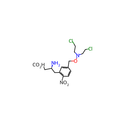 N[C@H](CC(=O)O)Cc1cc(CON(CCCl)CCCl)ccc1[N+](=O)[O-]